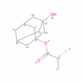 CC(F)C(=O)OC12CC3CC(CC(O)(C3)C1)C2